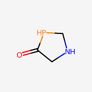 O=C1CNCP1